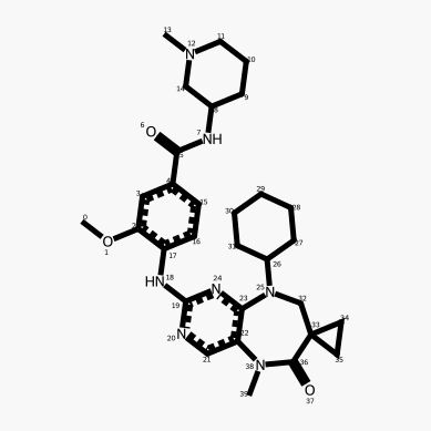 COc1cc(C(=O)NC2CCCN(C)C2)ccc1Nc1ncc2c(n1)N(C1CCCCC1)CC1(CC1)C(=O)N2C